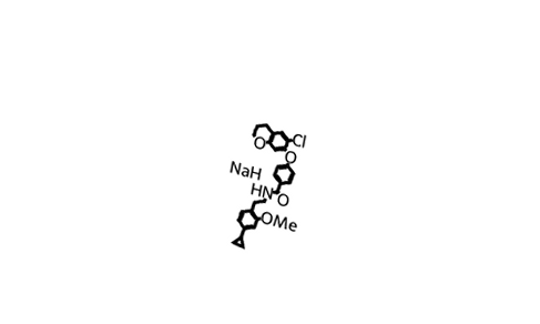 COc1cc(C2CC2)ccc1CCNC(=O)c1ccc(Oc2cc3c(cc2Cl)CCCO3)cc1.[NaH]